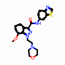 COc1cccc2c(C(=O)Nc3ccc4ncsc4c3)nn(CCN3CCOCC3)c12